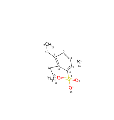 CCc1cccc(S(=O)(=O)[O-])c1CC.[K+]